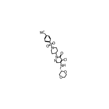 N#Cc1ccc(S(=O)(=O)N2CCC(n3ncc(NC[C@H]4COCCO4)c(Cl)c3=O)CC2)cc1